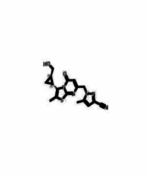 Cc1sc2nc(Cn3nc(C#N)cc3C)cc(=O)n2c1[C@@H]1C[C@H]1CO